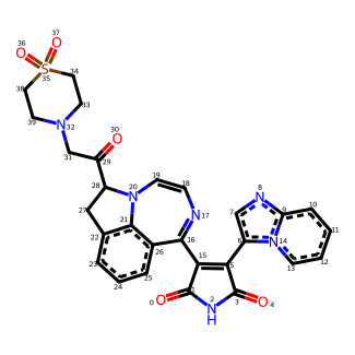 O=C1NC(=O)C(c2cnc3ccccn23)=C1C1=NC=CN2c3c(cccc31)CC2C(=O)CN1CCS(=O)(=O)CC1